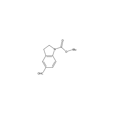 CC(C)(C)OC(=O)N1CCc2cc(C=O)ccc21